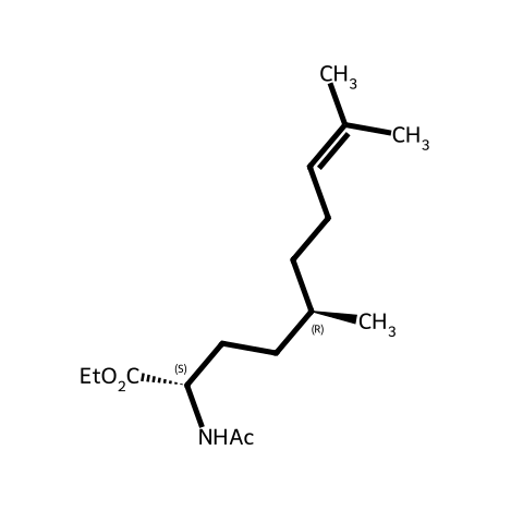 CCOC(=O)[C@H](CC[C@H](C)CCC=C(C)C)NC(C)=O